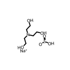 O=S([O-])O.OCCN(CCO)CCO.[Na+]